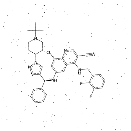 CC(C)(C)N1CCC(n2cc([C@@H](Nc3cc(Cl)c4ncc(C#N)c(NCc5cccc(F)c5F)c4c3)c3ccccc3)nn2)CC1